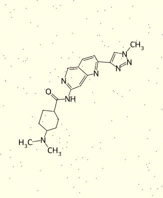 CN(C)C1CCC(C(=O)Nc2cc3nc(-c4cn(C)nn4)ccc3cn2)CC1